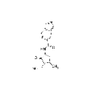 CC1CC(NC(=O)c2ccn3cncc3c2)C(=O)N1CC#N